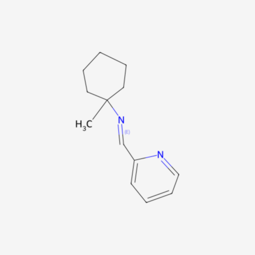 CC1(/N=C/c2ccccn2)CCCCC1